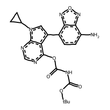 CC(C)(C)OC(=O)NC(=O)Oc1ncnc2c1c(-c1ccc(N)c3nonc13)cn2C1CC1